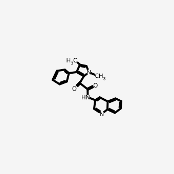 Cc1cn(C)c(C(=O)C(=O)Nc2cnc3ccccc3c2)c1-c1ccccc1